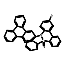 O=P1(c2ccccc2)c2ccccc2-c2cc(Br)ccc2N1c1ccc2c3ccccc3c3ccccc3c2c1